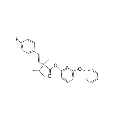 CC(C)C(C)(C=Cc1ccc(F)cc1)C(=O)Oc1cccc(Oc2ccccc2)n1